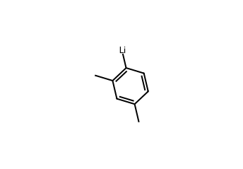 [Li][c]1ccc(C)cc1C